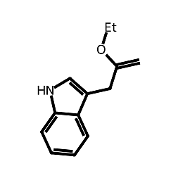 C=C(Cc1c[nH]c2ccccc12)OCC